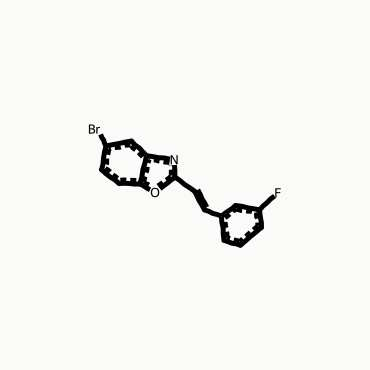 Fc1cccc(C=Cc2nc3cc(Br)ccc3o2)c1